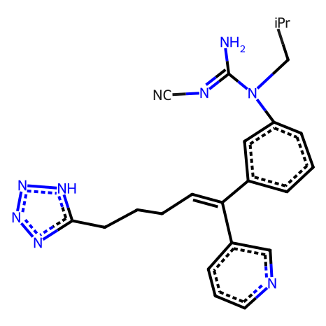 CC(C)CN(C(N)=NC#N)c1cccc(C(=CCCCc2nnn[nH]2)c2cccnc2)c1